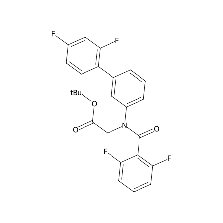 CC(C)(C)OC(=O)CN(C(=O)c1c(F)cccc1F)c1cccc(-c2ccc(F)cc2F)c1